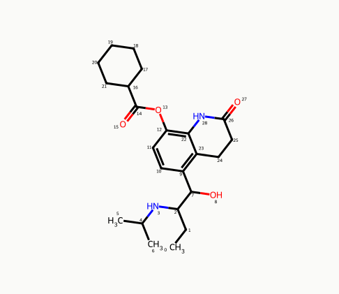 CCC(NC(C)C)C(O)c1ccc(OC(=O)C2CCCCC2)c2c1CCC(=O)N2